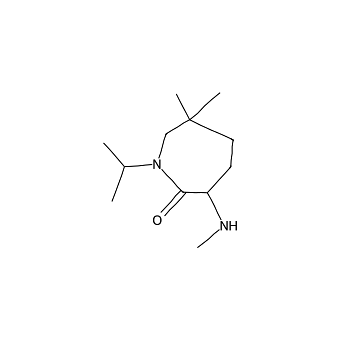 CNC1CCC(C)(C)CN(C(C)C)C1=O